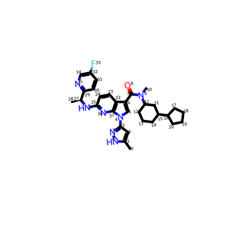 Cc1cc(-n2cc(C(=O)N(C)C3CCCC(C4CCCC4)C3)c3ccc(N[C@@H](C)c4ccc(F)cn4)nc32)n[nH]1